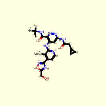 [2H]C([2H])([2H])NC(=O)c1nnc(NC(=O)CC2CC2)cc1Nc1nccc(-c2noc(CO)n2)c1OC